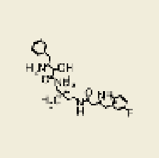 CC(C)(CCNC(=O)CC(N)Cc1cc(F)ccc1F)CNC(=O)C(O)C(N)Cc1ccccc1